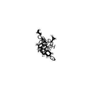 CCCOC(=O)O[C@]1(C(=O)COC(=O)C2CC2)[C@H](C)C[C@H]2[C@@H]3CCC4=CC(=O)C=C[C@]4(C)[C@@]3(F)[C@@H](O)C[C@@]21C